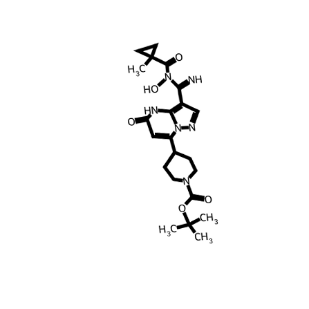 CC(C)(C)OC(=O)N1CCC(c2cc(=O)[nH]c3c(C(=N)N(O)C(=O)C4(C)CC4)cnn23)CC1